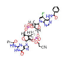 CC(C)C(=O)Nc1nc2c(ncn2[C@@H]2O[C@@H]3COP(=O)(O)O[C@H]4[C@@H](C)[C@H](n5cc(F)c6c(NC(=O)c7ccccc7)ncnc65)O[C@@H]4COP(=O)(OCCC#N)O[C@@H]2[C@@H]3C)c(=O)[nH]1